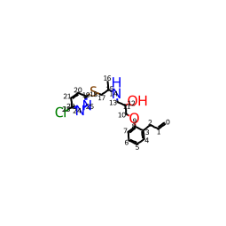 C=CCc1ccccc1OCC(O)CNC(C)CSc1ccc(Cl)nn1